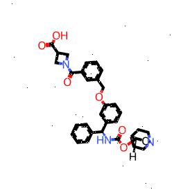 O=C(N[C@@H](c1ccccc1)c1cccc(OCc2cccc(C(=O)N3CC(C(=O)O)C3)c2)c1)O[C@H]1CN2CCC1CC2